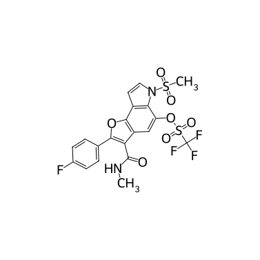 CNC(=O)c1c(-c2ccc(F)cc2)oc2c1cc(OS(=O)(=O)C(F)(F)F)c1c2ccn1S(C)(=O)=O